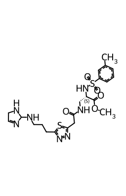 COC(=O)[C@H](CNC(=O)Cc1nnc(CCCNC2N=CCN2)s1)NS(=O)(=O)c1cccc(C)c1